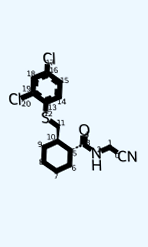 N#CCNC(=O)[C@@H]1CCCC[C@H]1CSc1ccc(Cl)cc1Cl